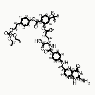 CCOP(=O)(OCC)OCCc1ccc(OC(=O)c2ccc(C(F)(F)F)cc2OC(=O)CC[C@H](NC(=O)c2ccc(NCc3cnc4[nH]c(N)nc(=O)c4n3)cc2)C(=O)O)cc1